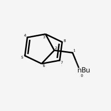 CCCCCC1C2C=CC1C=C2